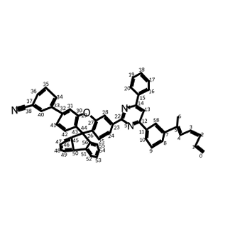 C=C/C=C\C=C(/C)c1cccc(-c2cc(-c3ccccc3)nc(-c3ccc4c(c3)Oc3cc(-c5cccc(C#N)c5)ccc3C43c4ccccc4-c4ccccc43)n2)c1